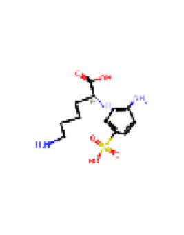 NCCCC[C@@H](N)C(=O)O.Nc1ccc(S(=O)(=O)O)cc1